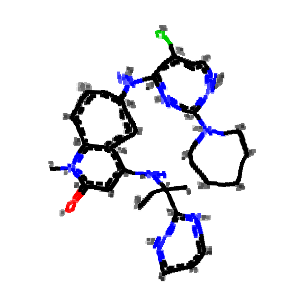 Cn1c(=O)cc(NC(C)(C)c2ncccn2)c2cc(Nc3nc(N4CCCCC4)ncc3Cl)ccc21